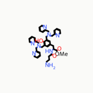 COC(=O)C(Cc1cc(CN(Cc2ccccn2)Cc2ccccn2)c(O)c(CN(Cc2ccccn2)Cc2ccccn2)c1)NC(=O)CCCN